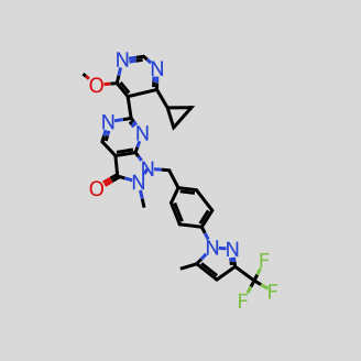 COc1ncnc(C2CC2)c1-c1ncc2c(=O)n(C)n(Cc3ccc(-n4nc(C(F)(F)F)cc4C)cc3)c2n1